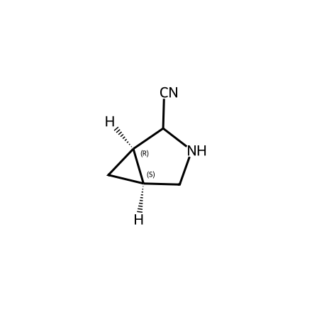 N#CC1NC[C@H]2C[C@@H]12